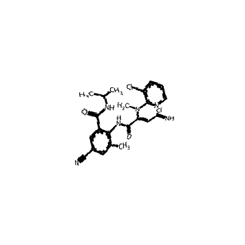 Cc1cc(C#N)cc(C(=O)NC(C)C)c1NC(=O)/C(=C/C(=N)Cl)N(C)c1ncccc1Cl